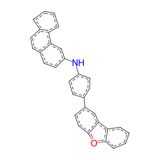 c1ccc2c(c1)ccc1ccc(Nc3ccc(-c4ccc5oc6ccccc6c5c4)cc3)cc12